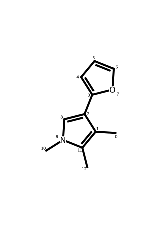 Cc1c(-c2ccco2)cn(C)c1C